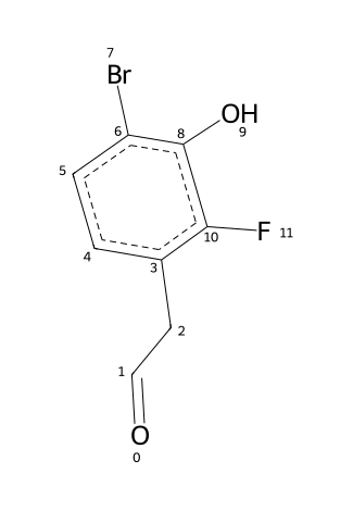 O=CCc1ccc(Br)c(O)c1F